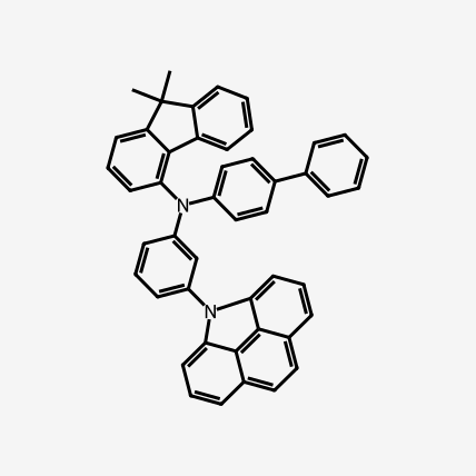 CC1(C)c2ccccc2-c2c(N(c3ccc(-c4ccccc4)cc3)c3cccc(-n4c5cccc6ccc7cccc4c7c65)c3)cccc21